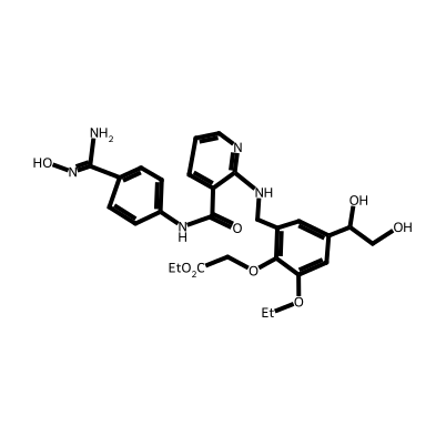 CCOC(=O)COc1c(CNc2ncccc2C(=O)Nc2ccc(/C(N)=N/O)cc2)cc(C(O)CO)cc1OCC